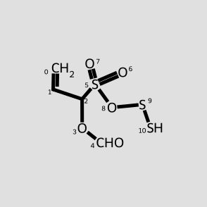 C=CC(OC=O)S(=O)(=O)OSS